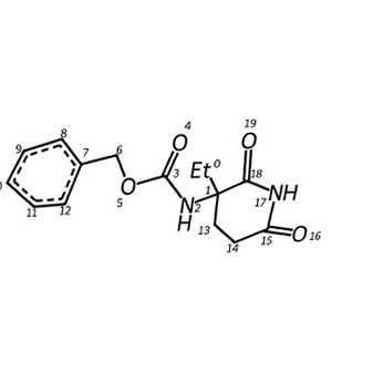 CCC1(NC(=O)OCc2ccccc2)CCC(=O)NC1=O